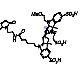 COCCN1/C(=C/C=C/C2=[N+](CCCCCC(=O)NCCN3C(=O)C=CC3=O)c3ccc(S(=O)(=O)O)cc3C2(C)CCOC)C(C)(CCCS(=O)(=O)O)c2cc(S(=O)(=O)O)ccc21